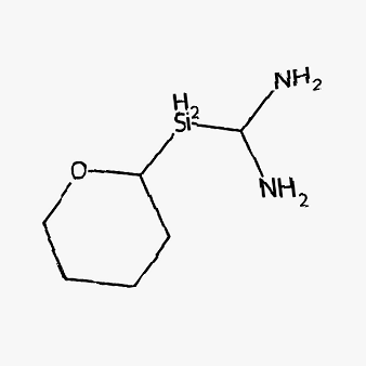 NC(N)[SiH2]C1CCCCO1